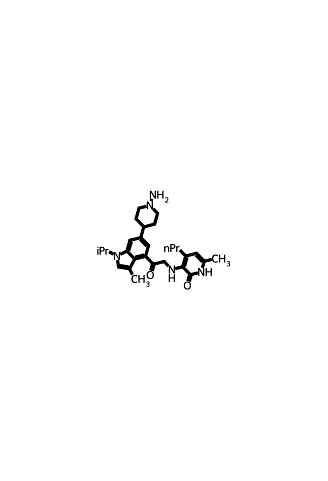 CCCc1cc(C)[nH]c(=O)c1NCC(=O)c1cc(C2CCN(N)CC2)cc2c1c(C)cn2C(C)C